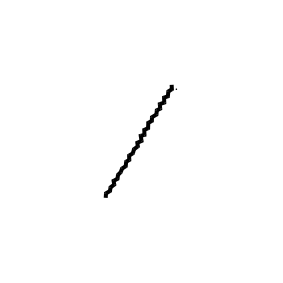 C[CH]CCCCCCCCCCCCCCCCCCCCCCCCCCCCCCCCCC